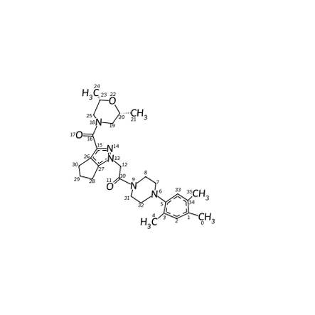 Cc1cc(C)c(N2CCN(C(=O)Cn3nc(C(=O)N4C[C@@H](C)O[C@@H](C)C4)c4c3CCC4)CC2)cc1C